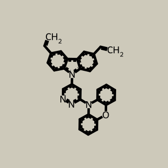 C=Cc1ccc2c(c1)c1cc(C=C)ccc1n2-c1cnnc(N2c3ccccc3Oc3ccccc32)c1